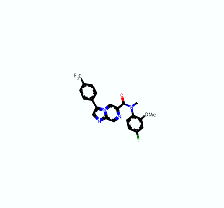 COc1cc(F)ccc1N(C)C(=O)c1cn2c(-c3ccc(C(F)(F)F)cc3)cnc2cn1